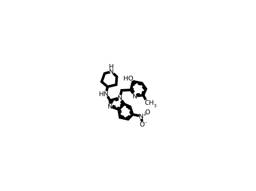 Cc1ccc(O)c(Cn2c(NC3CCNCC3)nc3ccc([N+](=O)[O-])cc32)n1